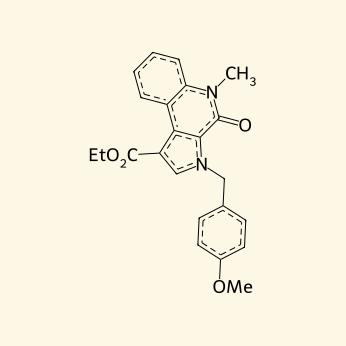 CCOC(=O)c1cn(Cc2ccc(OC)cc2)c2c(=O)n(C)c3ccccc3c12